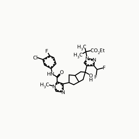 CCOC(=O)C(C)(C)n1cc(C2(O)CC3CC(c4ncn(C)c4C(=O)Nc4ccc(F)c(Cl)c4)CC3C2)c(C(F)F)n1